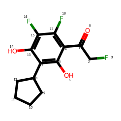 O=C(CF)c1c(O)c(C2CCCC2)c(O)c(F)c1F